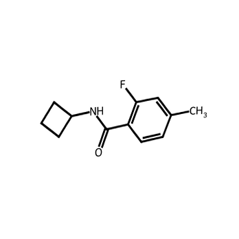 Cc1ccc(C(=O)NC2CCC2)c(F)c1